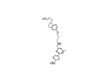 CCCCc1ccc(-c2nc(C)cc(CNCCCOc3ccc4c(c3)CC[C@H]4CC(=O)O)n2)cc1